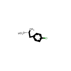 C[C@H](Cc1ccc(Cl)cc1)C(=O)O